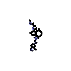 C=C/C=C\C(=C)C(=C)/C=C\C(=C)c1c2c(c(/C(C)=C/C=C(\C)c3ccc(/C=C\C)c(C=C)c3)c(=C)ccccc1=C)C=CC(C)C=C2